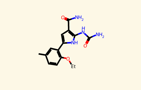 CCOc1ccc(C)cc1-c1cc(C(N)=O)c(NC(N)=O)[nH]1